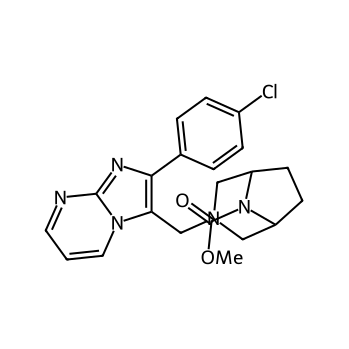 COC(=O)N1C2CCC1CN(Cc1c(-c3ccc(Cl)cc3)nc3ncccn13)C2